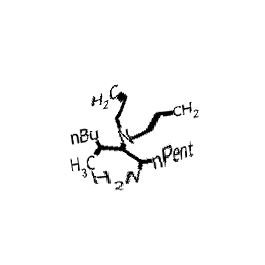 C=CCN(CC=C)C(C(C)CCCC)C(N)CCCCC